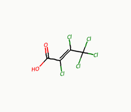 O=C(O)/C(Cl)=C(\Cl)C(Cl)(Cl)Cl